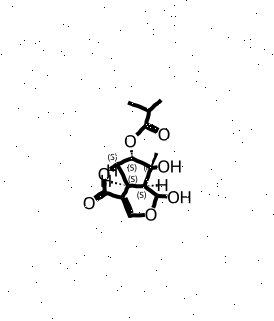 CC(C)C(=O)O[C@H]1[C@H]2OC(=O)C3=COC(O)[C@@H]([C@@H]32)[C@@]1(C)O